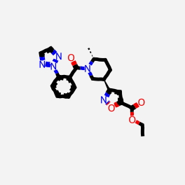 CCOC(=O)c1cc([C@@H]2CC[C@@H](C)N(C(=O)c3ccccc3-n3nccn3)C2)no1